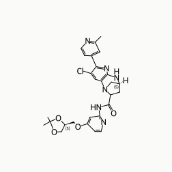 Cc1cc(-c2nc3c(cc2Cl)N2C[C@H](CC2C(=O)Nc2cc(OC[C@H]4COC(C)(C)O4)ccn2)N3)ccn1